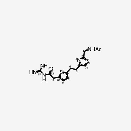 CC(=O)NCc1nc(CCc2ccc(CC(=O)NC(=N)N)s2)cs1